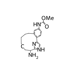 COC(=O)Nc1ccc2c(c1)CCCCCCC(N)c1nc-2c[nH]1